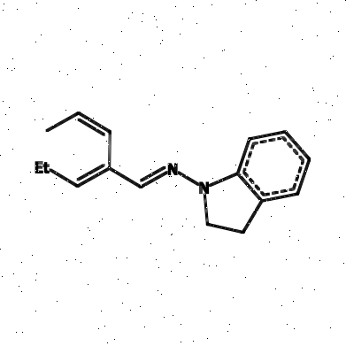 C/C=C\C(C=NN1CCc2ccccc21)=C/CC